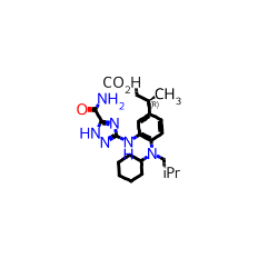 CC(C)CN(c1ccc([C@H](C)CC(=O)O)cc1Nc1n[nH]c(C(N)=O)n1)C1CCCCC1